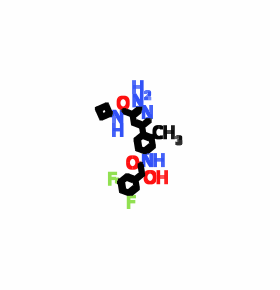 Cc1cc(NC(=O)[C@@H](O)c2cc(F)cc(F)c2)ccc1-c1cnc(N)c(C(=O)NC2CCC2)c1